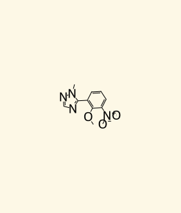 COc1c(-c2ncnn2C)cccc1[N+](=O)[O-]